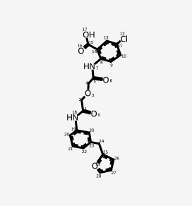 O=C(COCC(=O)Nc1ccc(Cl)cc1C(=O)O)Nc1cccc(Cc2ccco2)c1